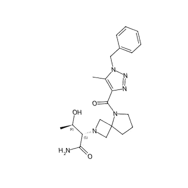 Cc1c(C(=O)N2CCCC23CN([C@H](C(N)=O)[C@@H](C)O)C3)nnn1Cc1ccccc1